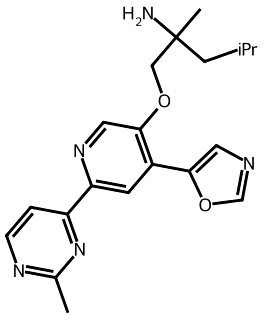 Cc1nccc(-c2cc(-c3cnco3)c(OCC(C)(N)CC(C)C)cn2)n1